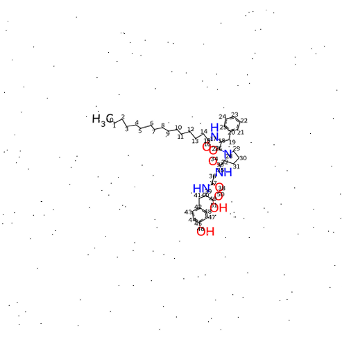 CCCCCCCCCCCCCCCC(=O)NC(Cc1ccccc1)C(=O)N1CCC[C@H]1C(=O)NCC(=O)NC(Cc1ccc(O)cc1)C(=O)O